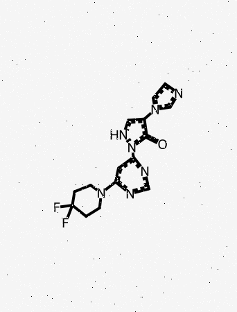 O=c1c(-n2ccnc2)c[nH]n1-c1cc(N2CCC(F)(F)CC2)ncn1